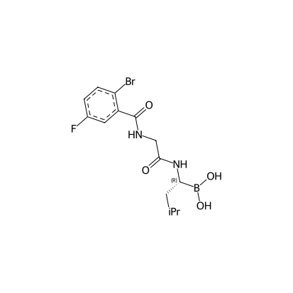 CC(C)C[C@H](NC(=O)CNC(=O)c1cc(F)ccc1Br)B(O)O